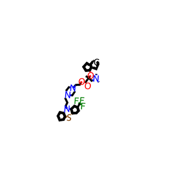 CN(C)CC(C)(Oc1cccc2ccccc12)C(=O)OCCN1CCN(CCCN2c3ccccc3Sc3ccc(C(F)(F)F)cc32)CC1